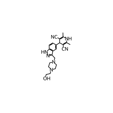 CC1=C(C#N)C(c2ccc3[nH]nc(CN4CCN(CCO)CC4)c3c2)C(C#N)=C(C)N1